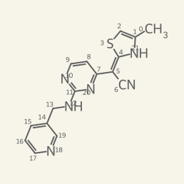 CC1=CS/C(=C(/C#N)c2ccnc(NCc3cccnc3)n2)N1